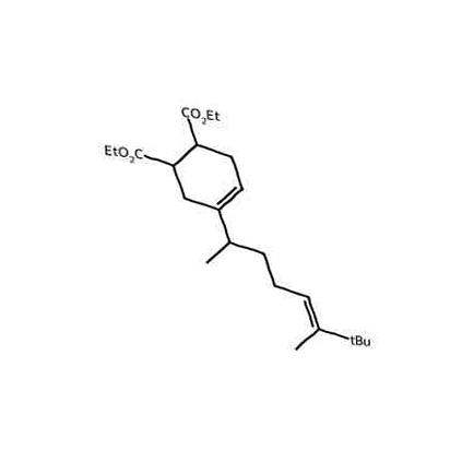 CCOC(=O)C1CC=C(C(C)CC/C=C(\C)C(C)(C)C)CC1C(=O)OCC